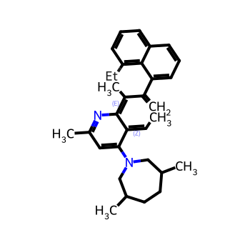 C=C(/C(C)=c1/nc(C)cc(N2CC(C)CCC(C)C2)/c1=C/C)c1cccc2cccc(CC)c12